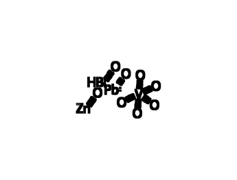 [O]=[BiH].[O]=[Pb].[O]=[V](=[O])(=[O])(=[O])=[O].[O]=[Zn]